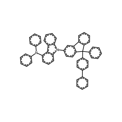 c1ccc(-c2ccc(C3(c4ccccc4)c4ccccc4-c4cc(-n5c6ccccc6c6c(N(c7ccccc7)c7ccccc7)cccc65)ccc43)cc2)cc1